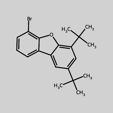 CC(C)(C)c1cc(C(C)(C)C)c2oc3c(Br)cccc3c2c1